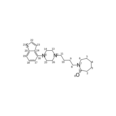 O=C1CCCCCN1CCCCN1CCN(c2cccc3sccc23)CC1